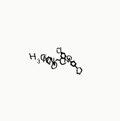 CN1CCN(C(=O)CC2CCCN(C(=O)c3ccc(C4CCCCC4)cc3)c3ccc(Cl)cc32)CC1